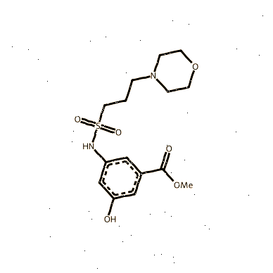 COC(=O)c1cc(O)cc(NS(=O)(=O)CCCN2CCOCC2)c1